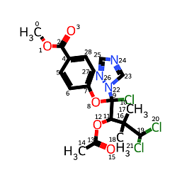 COC(=O)c1ccc(OC(Cl)(C(OC(C)=O)C(C)(C)C(Cl)Cl)n2cncn2)cc1